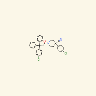 N#CC1(c2ccc(Cl)cc2)CCN(C(=O)CC(c2ccccc2)(c2ccccc2)c2ccc(Cl)cc2)CC1